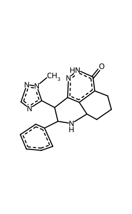 Cn1ncnc1C1c2n[nH]c(=O)c3c2C(CCC3)NC1c1ccccc1